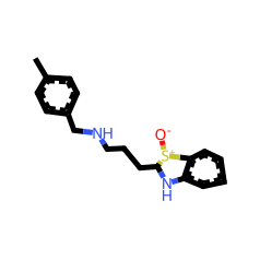 Cc1ccc(CNCCCC2Nc3ccccc3[S+]2[O-])cc1